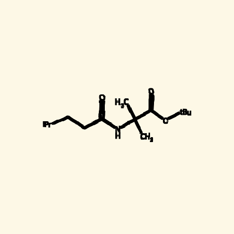 CC(C)CCC(=O)NC(C)(C)C(=O)OC(C)(C)C